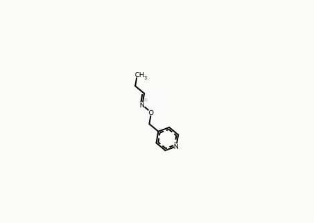 CC/C=N/OCc1ccncc1